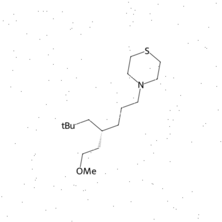 COCC[C@@H](CCCN1CCSCC1)CC(C)(C)C